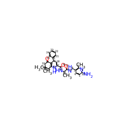 Cc1nc(N)ccc1CNC(=O)C(C)NC(=O)C1=CC(c2ccccc2)C2=C(CC(C)(C)CC2=O)N1